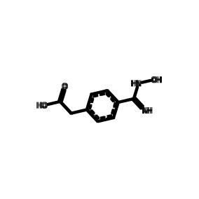 N=C(NO)c1ccc(CC(=O)O)cc1